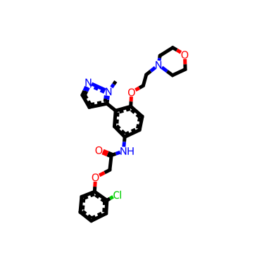 Cn1nccc1-c1cc(NC(=O)COc2ccccc2Cl)ccc1OCCN1CCOCC1